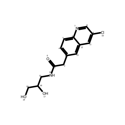 O=C(Cc1ccc2ncc(Cl)cc2c1)NCC(O)CO